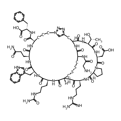 C[C@@H](O)[C@@H]1NC(=O)[C@@H]2Cc3cn(nn3)CCC[C@H](C(=O)N[C@@H](Cc3ccccc3)C(=O)O)NC(=O)[C@H](CCC(N)=O)NC(=O)[C@H](Cc3c[nH]c4ccccc34)NC(=O)[C@H](CCCNC(N)=O)NC(=O)[C@H](CSSCC(NC(=O)CN)C(=O)N2)NC(=O)[C@H](CCCNC(=N)N)NC(=O)[C@@H]2CCCN2C(=O)[C@H](CC(=O)O)NC1=O